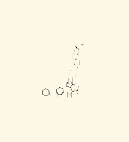 CC(C)(C)OC(=O)N1CCC2(CCN([C@H]3CC[C@H](n4cc(-c5ccc(Oc6ccccc6)cc5)c5c(N)ncnc54)CC3)C2)C1